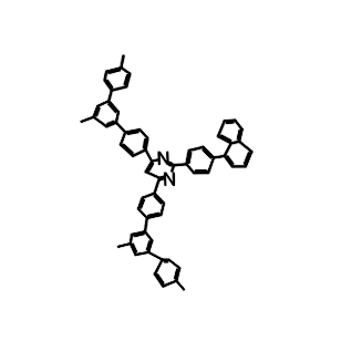 Cc1ccc(-c2cc(C)cc(-c3ccc(-c4cc(-c5ccc(-c6cc(C)cc(-c7ccc(C)cc7)c6)cc5)nc(-c5ccc(-c6cccc7ccccc67)cc5)n4)cc3)c2)cc1